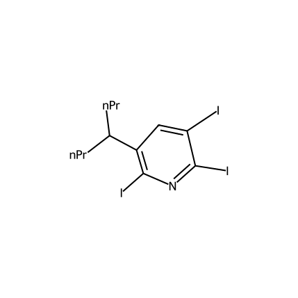 CCCC(CCC)c1cc(I)c(I)nc1I